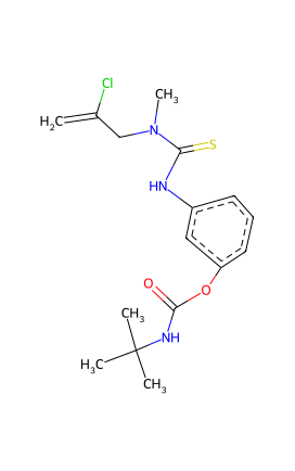 C=C(Cl)CN(C)C(=S)Nc1cccc(OC(=O)NC(C)(C)C)c1